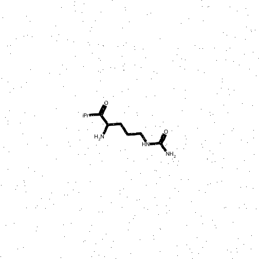 CC(C)C(=O)C(N)CCCNC(N)=O